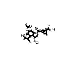 CC(=O)Oc1cc2c(c3c(C)c[nH]c13)[C@H](CCl)CN2C(=O)C1C2C3(C(=O)O)CC12C3